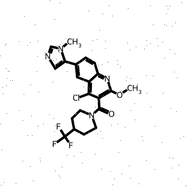 COc1nc2ccc(-c3cncn3C)cc2c(Cl)c1C(=O)N1CCC(C(F)(F)F)CC1